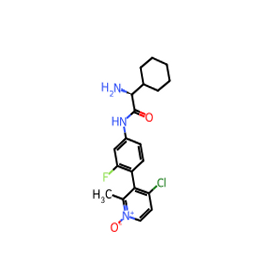 Cc1c(-c2ccc(NC(=O)[C@@H](N)C3CCCCC3)cc2F)c(Cl)cc[n+]1[O-]